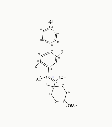 COC1CCC(C)(/C(O)=C(\C(C)=O)c2cc(C)c(-c3ccc(Cl)cc3)cc2C)CC1